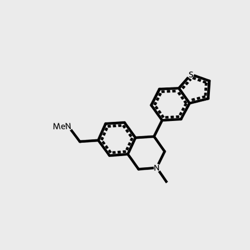 CNCc1ccc2c(c1)CN(C)CC2c1ccc2sccc2c1